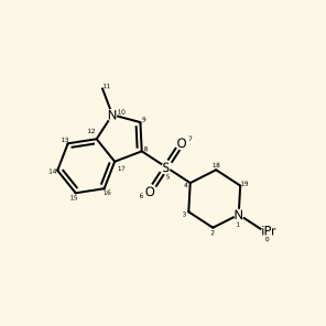 CC(C)N1CCC(S(=O)(=O)c2cn(C)c3ccccc23)CC1